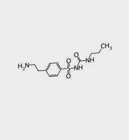 CCCNC(=O)NS(=O)(=O)c1ccc(CCN)cc1